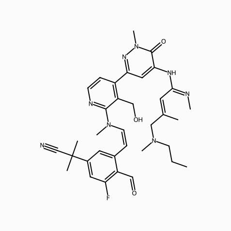 CCCN(C)C/C(C)=C/C(=N\C)Nc1cc(-c2ccnc(N(C)/C=C\c3cc(C(C)(C)C#N)cc(F)c3C=O)c2CO)nn(C)c1=O